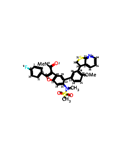 CNC(=O)c1c(-c2ccc(F)cc2)oc2cc(N(C)S(C)(=O)=O)c(-c3ccc(OC)c(C4CSc5ncccc54)c3)cc12